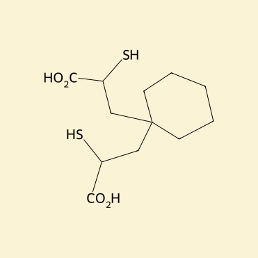 O=C(O)C(S)CC1(CC(S)C(=O)O)CCCCC1